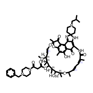 CO[C@H]1/C=C/OC2(C)Oc3c(C)c(O)c4c(c3C2=O)C2=NC3(CCN(CC(C)C)CC3)NC2=C(NC(=O)/C(C)=C\C=C\C(C)C[C@@H](C)C(O)[C@@H](C)C(OC(=O)CC(=O)N2CCN(Cc3ccccc3)CC2)[C@@H]1C)C4=O